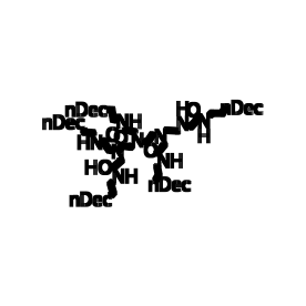 CCCCCCCCCCCCNC(=O)CNCCN(CCN(CCN(CC(=O)NCCCCCCCCCCCC)CC(O)NCCCCCCCCCCCC)CC(=O)NCCCCCCCCCCCC)CC(=O)NCCCCCCCCCCCC